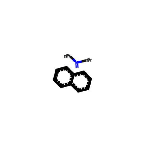 CCCNCCC.c1ccc2ccccc2c1